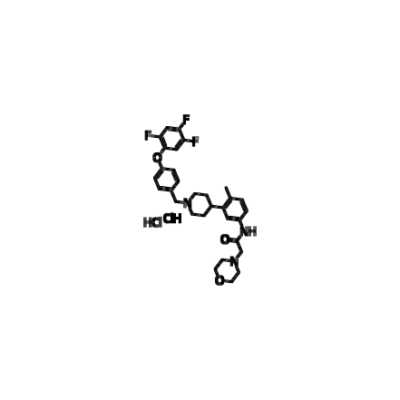 Cc1ccc(NC(=O)CN2CCOCC2)cc1C1CCN(Cc2ccc(Oc3cc(F)c(F)cc3F)cc2)CC1.Cl.Cl